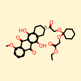 CCOC(=O)COC1(OCC(=O)[C@H]2CCc3c(O)c4c(c(O)c3C2)C(=O)c2cccc(OC)c2C4=O)CCCCC1